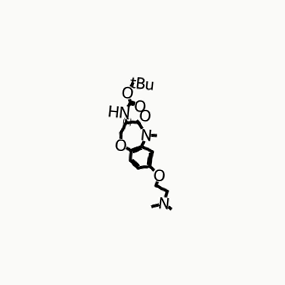 CN(C)CCOc1ccc2c(c1)N(C)C(=O)[C@@H](NC(=O)OC(C)(C)C)CO2